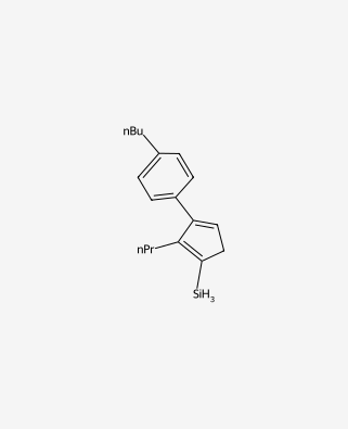 CCCCc1ccc(C2=CCC([SiH3])=C2CCC)cc1